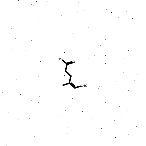 CC(=CC=O)CCC(=O)C(C)C